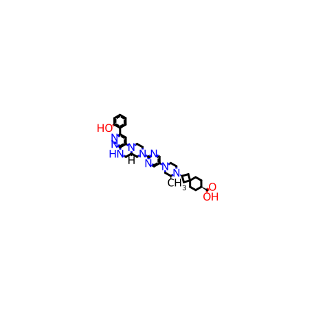 C[C@@H]1CN(c2cnc(N3CCN4c5cc(-c6ccccc6O)nnc5NC[C@H]4C3)nc2)CCN1[C@H]1CC2(CC[C@H](C(=O)O)CC2)C1